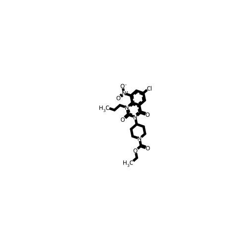 CCCn1c(=O)n(C2CCN(C(=O)OCC)CC2)c(=O)c2cc(Cl)cc([N+](=O)[O-])c21